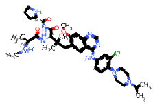 CN[C@@H](C)C(=O)N[C@H](C(=O)NC(=O)[C@@H]1CCCN1)C(C)(C)Cc1cc2c(Nc3ccc(N4CCN(C(C)C)CC4)c(Cl)c3)ncnc2cc1OC